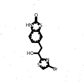 O=c1[nH]c2ccc(CC(O)c3nc(Br)cs3)cc2s1